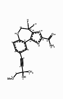 COC[C@@](C)(O)C#Cc1ccc2c(c1)-c1nc(C(N)=O)sc1C(F)(F)CO2